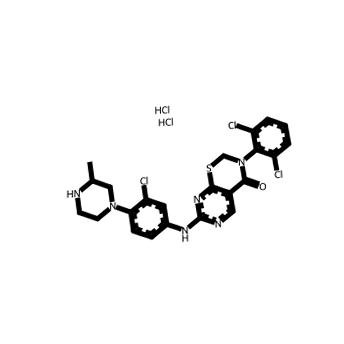 CC1CN(c2ccc(Nc3ncc4c(n3)SCN(c3c(Cl)cccc3Cl)C4=O)cc2Cl)CCN1.Cl.Cl